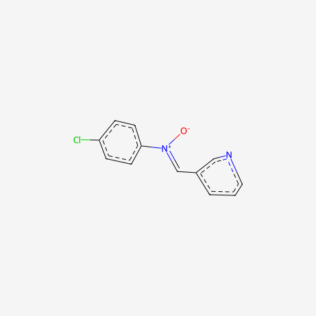 [O-][N+](=Cc1cccnc1)c1ccc(Cl)cc1